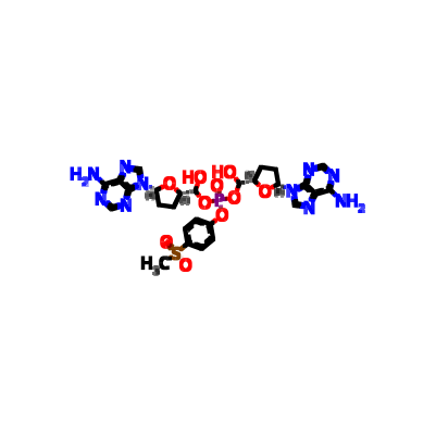 CS(=O)(=O)c1ccc(OP(=O)(OC(O)[C@@H]2CC[C@H](n3cnc4c(N)ncnc43)O2)OC(O)[C@@H]2CC[C@H](n3cnc4c(N)ncnc43)O2)cc1